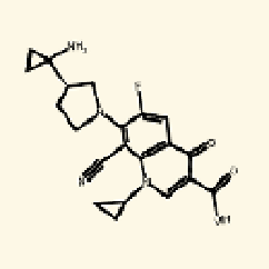 N#Cc1c(N2CC[C@@H](C3(N)CC3)C2)c(F)cc2c(=O)c(C(=O)O)cn(C3CC3)c12